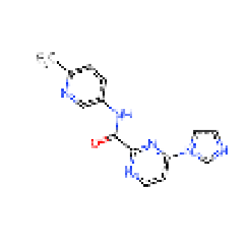 O=C(Nc1ccc(C(F)(F)F)nc1)c1nccc(-n2ccnc2)n1